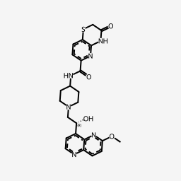 COc1ccc2nccc([C@@H](O)CN3CCC(NC(=O)c4ccc5c(n4)NC(=O)CS5)CC3)c2n1